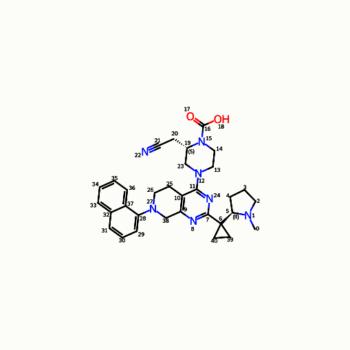 CN1CCC[C@@H]1C1(c2nc3c(c(N4CCN(C(=O)O)[C@@H](CC#N)C4)n2)CCN(c2cccc4ccccc24)C3)CC1